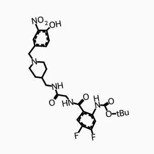 CC(C)(C)OC(=O)Nc1cc(F)c(F)cc1C(=O)NCC(=O)NCC1CCN(Cc2ccc(O)c([N+](=O)[O-])c2)CC1